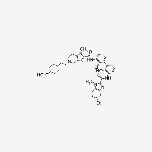 CCN1CCc2c(nc(C(=O)Nc3cccc(-c4cccc(NC(=O)c5nc6c(n5C)CCN(CCC5CCC(C(=O)O)CC5)C6)c4Cl)c3C#N)n2C)C1